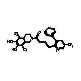 O=C(CCCc1ncc(C(F)(F)F)cc1-c1ccccc1)N1CCc2c(Cl)c(O)c(O)c(Cl)c2C1